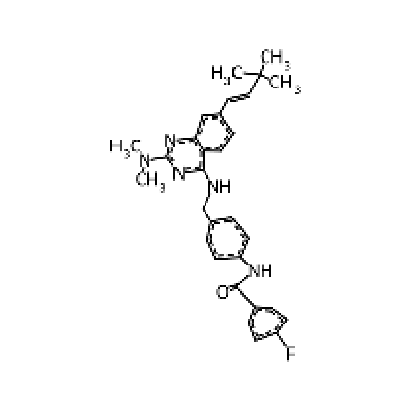 CN(C)c1nc(NCc2ccc(NC(=O)c3ccc(F)cc3)cc2)c2ccc(C=CC(C)(C)C)cc2n1